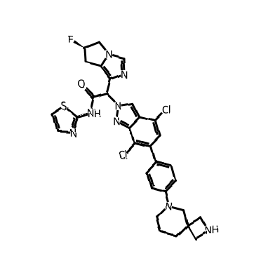 O=C(Nc1nccs1)C(c1ncn2c1C[C@@H](F)C2)n1cc2c(Cl)cc(-c3ccc(N4CCCC5(CNC5)C4)cc3)c(Cl)c2n1